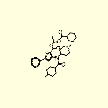 CC1CCC(C(=O)N(c2cc(-c3ccccc3)sc2C(=O)OC(C)OC(=O)C2CCCCC2)C2CCN(C)CC2)CC1